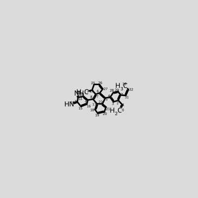 C=Cc1cc(-c2c3c(c(C4=CC(=N)C(=N)C=C4)c4ccccc24)C(C)CC=C3)ccc1/C=C\C